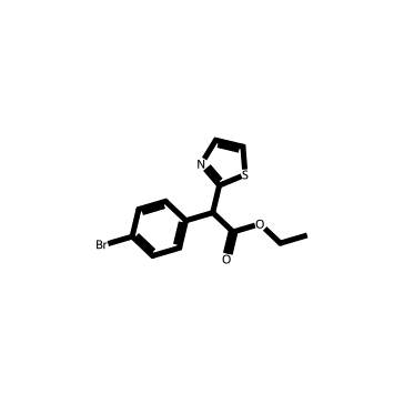 CCOC(=O)C(c1ccc(Br)cc1)c1nccs1